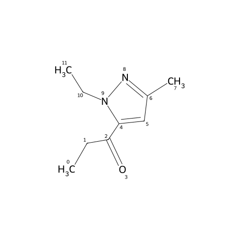 CCC(=O)c1cc(C)nn1CC